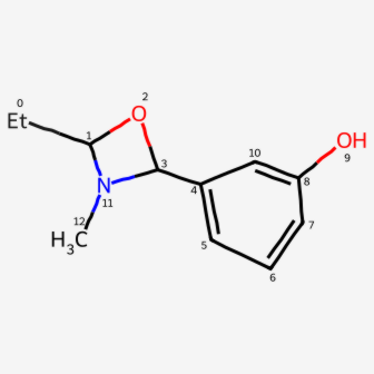 CCC1OC(c2cccc(O)c2)N1C